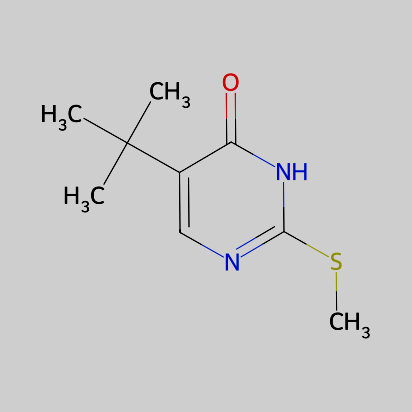 CSc1ncc(C(C)(C)C)c(=O)[nH]1